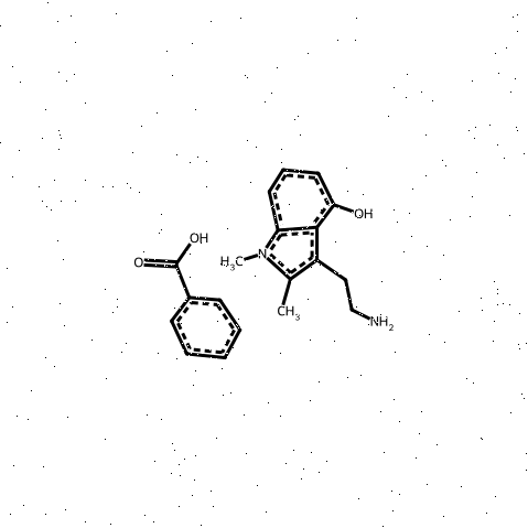 Cc1c(CCN)c2c(O)cccc2n1C.O=C(O)c1ccccc1